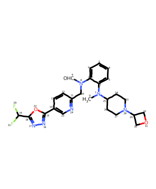 CN(c1ccccc1N(C=O)Cc1ccc(-c2nnc(C(F)F)o2)cn1)C1CCN(C2COC2)CC1